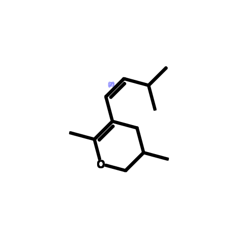 CC1=C(/C=C\C(C)C)CC(C)CO1